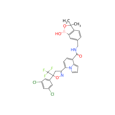 CC1(C)OB(O)c2cc(CNC(=O)c3ccc(C4=NOC(c5cc(Cl)cc(Cl)c5)(C(F)(F)F)C4)n4cccc34)ccc21